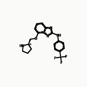 FC(F)(F)c1ccc(Nc2nc3cccc(OC[C@H]4CCCN4)n3n2)cc1